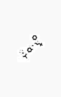 CC(C)(C)c1cc(NC(=O)Nc2ccc(Oc3nc(S(C)(=O)=O)nc(N)c3C#N)cc2F)n(-c2ccccc2)n1